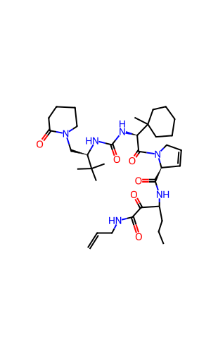 C=CCNC(=O)C(=O)C(CCC)NC(=O)[C@@H]1C=CCN1C(=O)[C@@H](NC(=O)N[C@H](CN1CCCCC1=O)C(C)(C)C)C1(C)CCCCC1